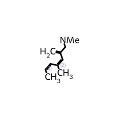 C=C(/C=C(C)\C=C/C)CNC